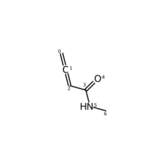 C=C=CC(=O)NC